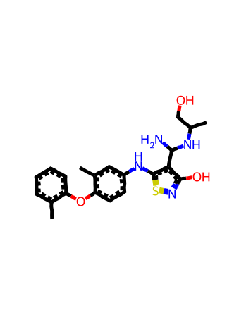 Cc1ccccc1Oc1ccc(Nc2snc(O)c2C(N)NC(C)CO)cc1C